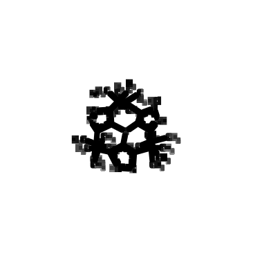 CC(C)(C)c1n[nH]c(C(C)(C)C)c1B(c1c(C(C)(C)C)n[nH]c1C(C)(C)C)c1c(C(C)(C)C)n[nH]c1C(C)(C)C.Cl.[Fe]